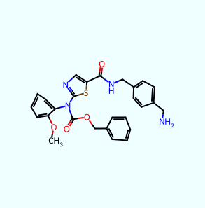 COc1ccccc1N(C(=O)OCc1ccccc1)c1ncc(C(=O)NCc2ccc(CN)cc2)s1